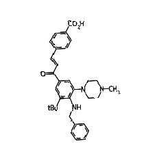 CN1CCN(c2cc(C(=O)C=Cc3ccc(C(=O)O)cc3)cc(C(C)(C)C)c2NCc2ccccc2)CC1